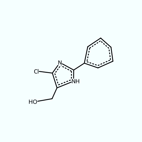 OCc1[nH]c(-c2ccccc2)nc1Cl